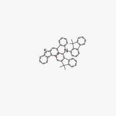 CC1(C)c2ccccc2-c2c(N(c3ccccc3-c3ccc4c(c3)sc3ccccc34)c3cccc4c3C(C)(C)c3ccccc3-4)cccc21